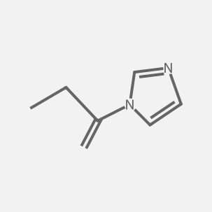 C=C(CC)n1ccnc1